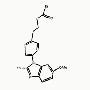 CCC(=O)OCCc1ccc(-n2c(CC)nc3ccc(OC)cc32)cc1